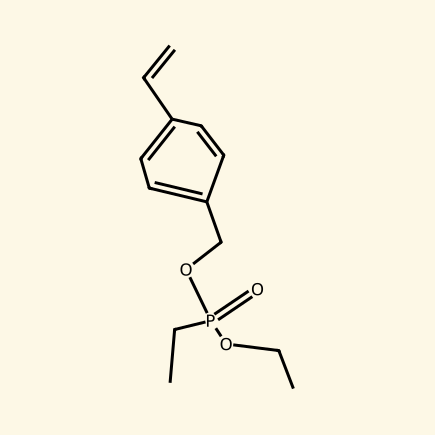 C=Cc1ccc(COP(=O)(CC)OCC)cc1